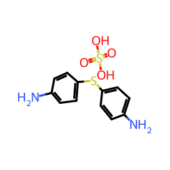 Nc1ccc(Sc2ccc(N)cc2)cc1.O=S(=O)(O)O